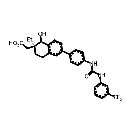 CC[C@@]1(CC(=O)O)CCc2cc(-c3ccc(NC(=O)Nc4cccc(C(F)(F)F)c4)cc3)ccc2C1O